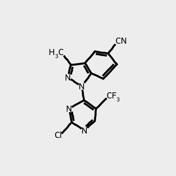 Cc1nn(-c2nc(Cl)ncc2C(F)(F)F)c2ccc(C#N)cc12